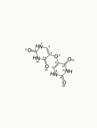 O=c1[nH]cc(Oc2c[nH]c(=O)[nH]c2=O)c(=O)[nH]1